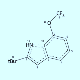 CC(C)(C)c1cc2cccc(OC(F)(F)F)c2[nH]1